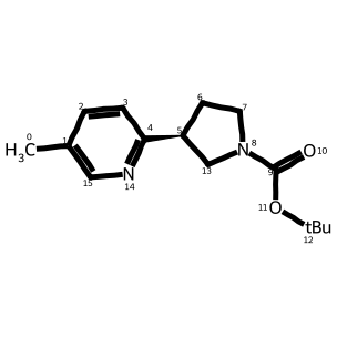 Cc1ccc([C@H]2CCN(C(=O)OC(C)(C)C)C2)nc1